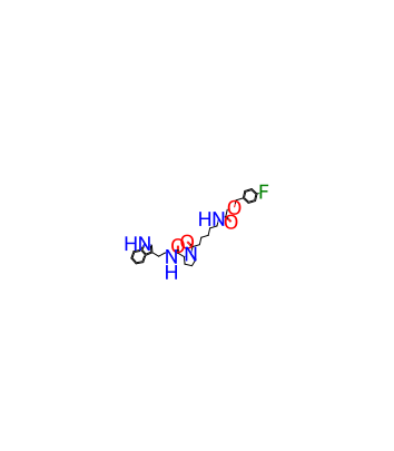 O=C(COCc1ccc(F)cc1)NCCCCCC(=O)N1CCCC1C(=O)NCCc1c[nH]c2ccccc12